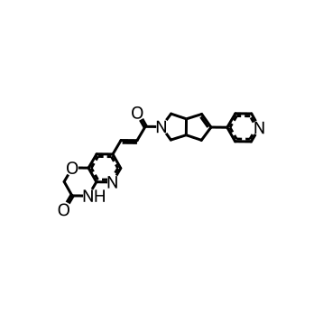 O=C1COc2cc(/C=C/C(=O)N3CC4C=C(c5ccncc5)CC4C3)cnc2N1